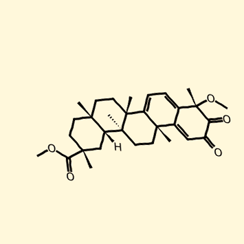 COC(=O)[C@]1(C)CC[C@]2(C)CC[C@]3(C)C4=CC=C5C(=CC(=O)C(=O)[C@@]5(C)OC)[C@]4(C)CC[C@@]3(C)[C@@H]2C1